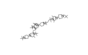 CC1CN(C2CCN(C(C)(C)C)CC2)CC(CC[C@@H]2CN(C3CCN(C(C)(C)CCC(C)(C)N4C(C)CN(C5CCN(CC(C)(C)C)CC5)CC4C)CC3)C[C@H](C)N2C(C)(C)C)N1C(C)(C)C